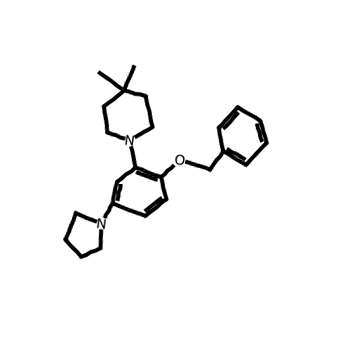 CC1(C)CCN(c2cc(N3CCCC3)ccc2OCc2ccccc2)CC1